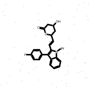 CC(C)n1c(/C=C/C2CC(O)CC(=O)O2)c(-c2ccc(F)cc2)c2ccccc21